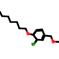 CCCCCCCOC1C=CC(COC)=CC1Cl